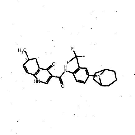 C[C@@H]1C=Cc2[nH]cc(C(=O)Nc3ccc(N4C5CCCC4CC5)cc3C(F)(F)F)c(=O)c2C1